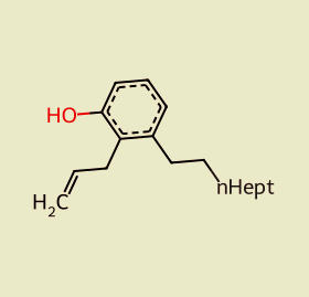 C=CCc1c(O)cccc1CCCCCCCCC